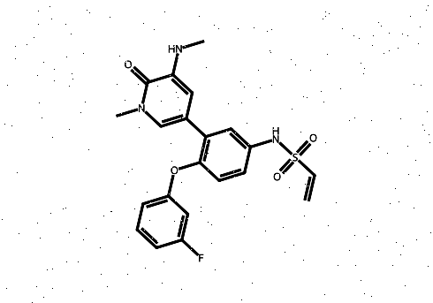 C=CS(=O)(=O)Nc1ccc(Oc2cccc(F)c2)c(-c2cc(NC)c(=O)n(C)c2)c1